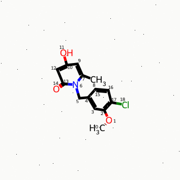 COc1cc(Cn2c(C)cc(O)cc2=O)ccc1Cl